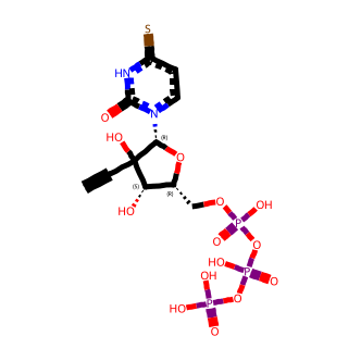 C#CC1(O)[C@@H](O)[C@@H](COP(=O)(O)OP(=O)(O)OP(=O)(O)O)O[C@H]1n1ccc(=S)[nH]c1=O